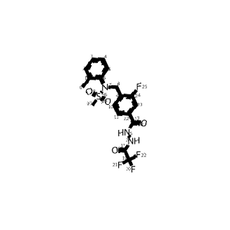 Cc1ccccc1N(Cc1ccc(C(=O)NNC(=O)C(F)(F)F)cc1F)S(C)(=O)=O